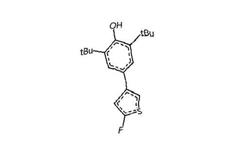 CC(C)(C)c1cc(-c2csc(F)c2)cc(C(C)(C)C)c1O